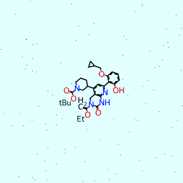 C=C(OCC)N1Cc2c(C3CCCN(C(=O)OC(C)(C)C)C3)cc(-c3c(O)cccc3OCC3CC3)nc2NC1=O